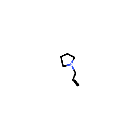 C=CC[N+]1CCCC1